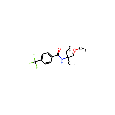 CCC(C)(COC)NC(=O)c1ccc(C(F)(F)F)cc1